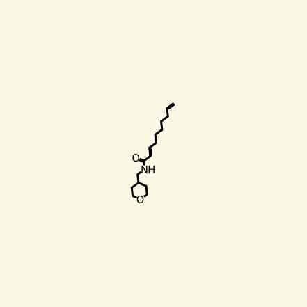 C=CCCCCCC=CC(=O)NCC1CCOCC1